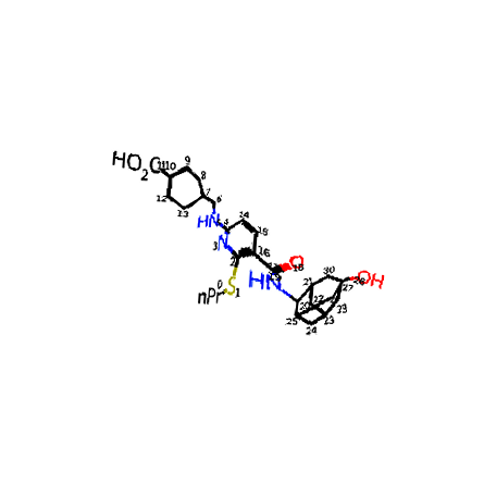 CCCSc1nc(NCC2CCC(C(=O)O)CC2)ccc1C(=O)NC1C2CC3CC1CC(O)(C3)C2